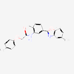 CCc1ccc(OCC(=O)Nc2cc(-c3nc4cc(C)ccc4o3)ccc2C)cc1